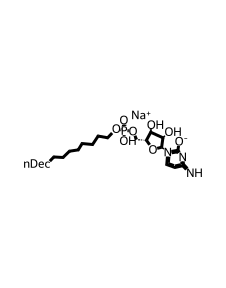 CCCCCCCCCCCCCCCCCCOP(=O)(O)OC[C@H]1O[C@@H](n2ccc(=N)nc2[O-])[C@@H](O)[C@@H]1O.[Na+]